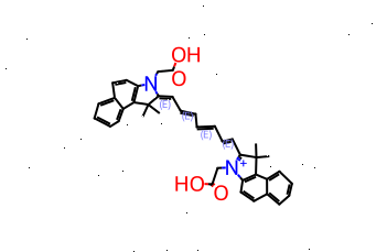 CC1(C)C(/C=C/C=C/C=C/C=C2/N(CC(=O)O)c3ccc4ccccc4c3C2(C)C)=[N+](CC(=O)O)c2ccc3ccccc3c21